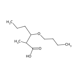 CCCCOC(CCC)C(C)C(=O)O